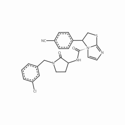 N#Cc1ccc(C2CSC3=NC=C[N@+]32C(=O)NC2CCN(Cc3cccc(Cl)c3)C2=O)cc1